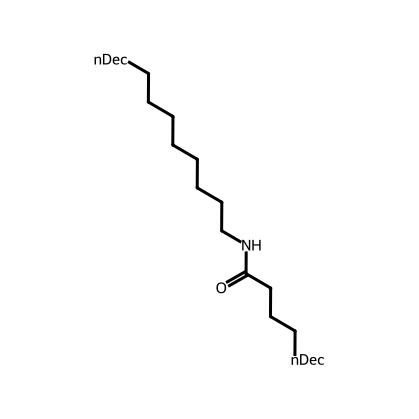 CCCCCCCCCCCCCCCCCCNC(=O)CCCCCCCCCCCCC